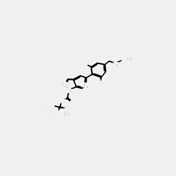 CNCc1cc(C)c(-c2cc3cnn(C(=O)OC(C)(C)C)c3cn2)c(F)c1